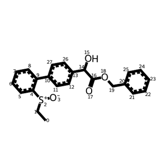 CC[S+]([O-])c1ccccc1-c1ccc(C(O)C(=O)OCc2ccccc2)cc1